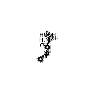 NC(C=CP(=O)(O)O)(CO)CCc1ccc([SH]2C=CC(OCc3ccccc3)=C2)cc1Cl